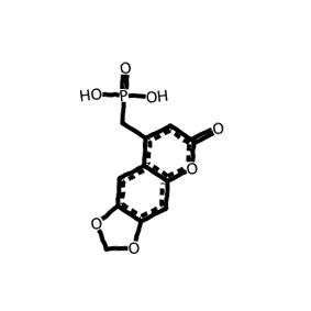 O=c1cc(CP(=O)(O)O)c2cc3c(cc2o1)OCO3